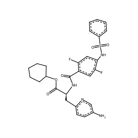 Nc1ccc(C[C@H](NC(=O)c2cc(F)c(NS(=O)(=O)c3ccccc3)cc2F)C(=O)OC2CCCCC2)nc1